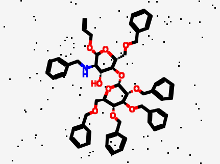 C=CCO[C@H]1O[C@H](COCc2ccccc2)[C@@H](O[C@H]2O[C@H](COCc3ccccc3)[C@@H](OCc3ccccc3)[C@H](OCc3ccccc3)[C@H]2OCc2ccccc2)[C@H](O)[C@H]1NCc1ccccc1